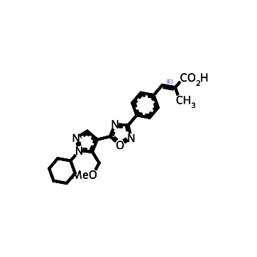 COCc1c(-c2nc(-c3ccc(/C=C(\C)C(=O)O)cc3)no2)cnn1C1CCCCC1